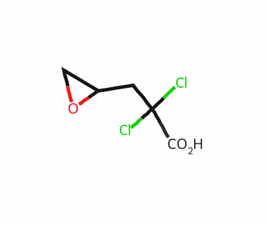 O=C(O)C(Cl)(Cl)CC1CO1